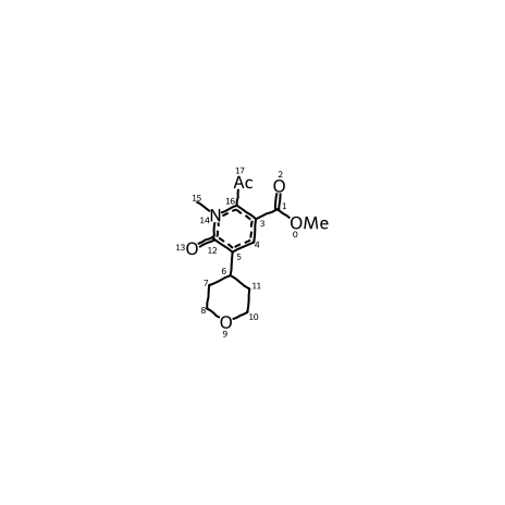 COC(=O)c1cc(C2CCOCC2)c(=O)n(C)c1C(C)=O